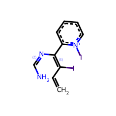 C=C/C(I)=C(\N=C/N)c1cccc[n+]1I